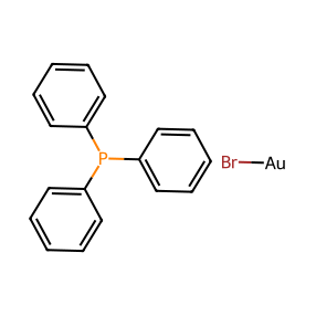 [Br][Au].c1ccc(P(c2ccccc2)c2ccccc2)cc1